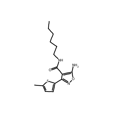 CCCCCCNC(=O)c1c(-c2ccc(C)s2)noc1N